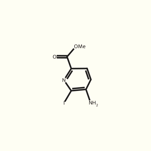 COC(=O)c1ccc(N)c(I)n1